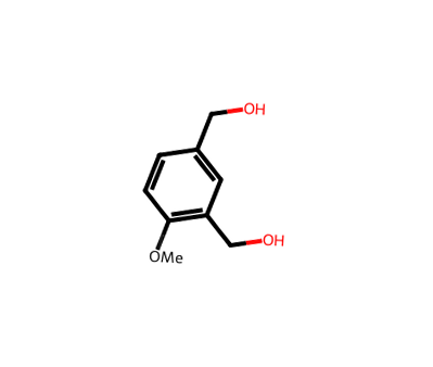 COc1ccc(CO)cc1CO